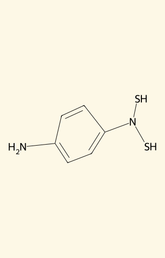 Nc1ccc(N(S)S)cc1